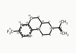 C=C(C)N1CCN2c3ncc(C(F)(F)F)nc3OCC2C1